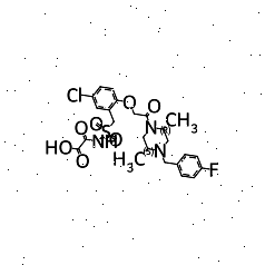 C[C@@H]1CN(Cc2ccc(F)cc2)[C@@H](C)CN1C(=O)COc1ccc(Cl)cc1CS(=O)(=O)NC(=O)C(=O)O